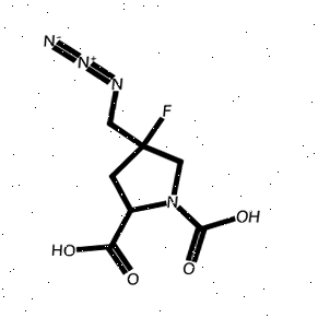 [N-]=[N+]=NCC1(F)CC(C(=O)O)N(C(=O)O)C1